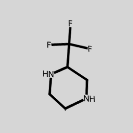 FC(F)(F)C1CN[CH]CN1